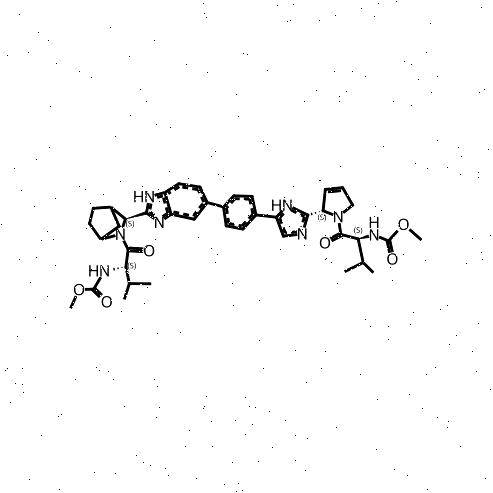 COC(=O)N[C@H](C(=O)N1CC=C[C@H]1c1ncc(-c2ccc(-c3ccc4[nH]c([C@@H]5C6CCC(C6)N5C(=O)[C@@H](NC(=O)OC)C(C)C)nc4c3)cc2)[nH]1)C(C)C